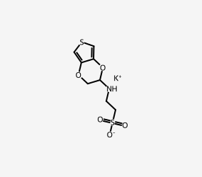 O=S(=O)([O-])CCNC1COc2cscc2O1.[K+]